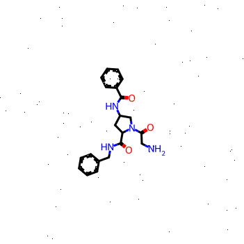 NCC(=O)N1CC(NC(=O)c2ccccc2)CC1C(=O)NCc1ccccc1